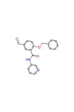 O=Cc1ccc(OCc2ccccc2)c(C(=O)Nc2cccnc2)c1